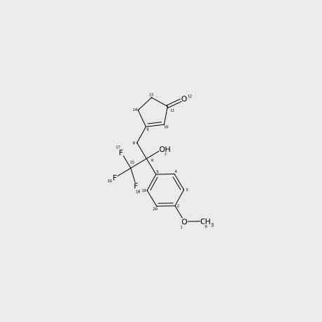 COc1ccc(C(O)(CC2=CC(=O)CC2)C(F)(F)F)cc1